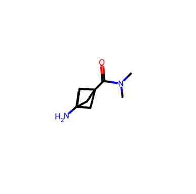 CN(C)C(=O)C12CC(N)(C1)C2